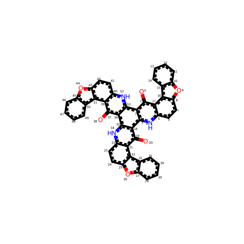 O=c1c2c([nH]c3ccc4oc5ccccc5c4c13)c1c(=O)c3c(ccc4oc5ccccc5c43)[nH]c1c1c(=O)c3c(ccc4oc5ccccc5c43)[nH]c21